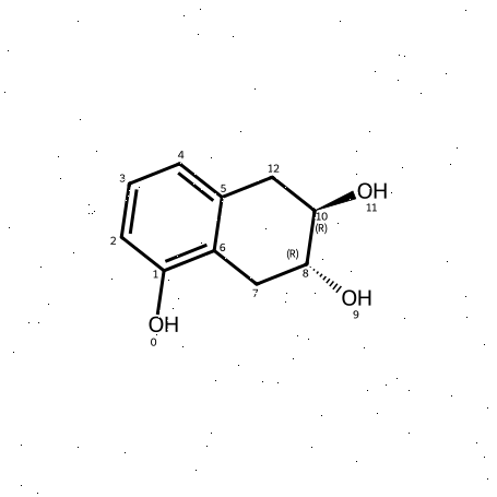 Oc1cccc2c1C[C@@H](O)[C@H](O)C2